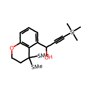 CSC1(SC)CCOc2cccc(C(O)C#C[Si](C)(C)C)c21